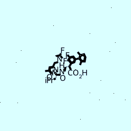 Cc1cccc(C)c1-c1cc(F)c(F)c([C@@H](CCNC(=O)[C@H](CC(C)C)n2nc(CCN3CC(F)C3)cc(C)c2=O)CC(=O)O)c1